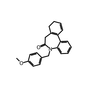 COc1ccc(CN2C(=O)CC3=C(C=CCC3)c3ccccc32)cc1